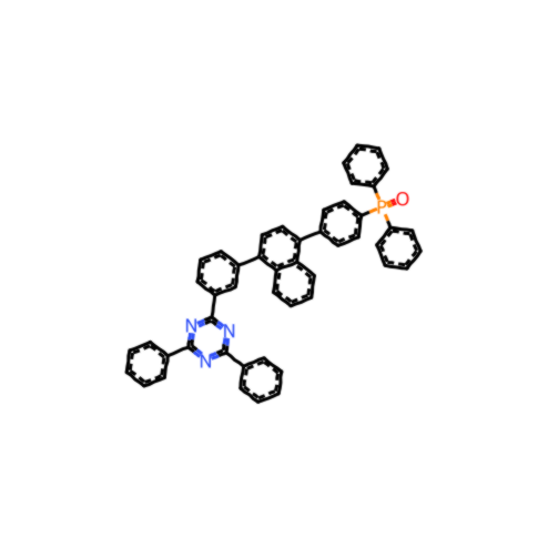 O=P(c1ccccc1)(c1ccccc1)c1ccc(-c2ccc(-c3cccc(-c4nc(-c5ccccc5)nc(-c5ccccc5)n4)c3)c3ccccc23)cc1